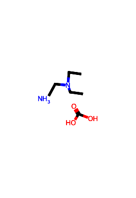 CCN(CC)CC.N.O=C(O)O